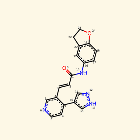 O=C(/C=C/c1cnccc1-c1cn[nH]c1)Nc1ccc2c(c1)CCO2